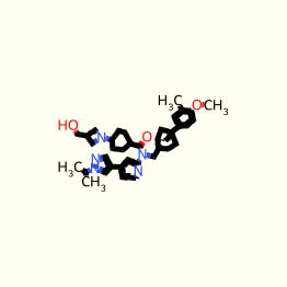 COc1ccc(C23CCC(CN(C(=O)C4CCC(N5CC(CO)C5)CC4)c4cc(-c5cnn(C(C)C)c5)ccn4)(CC2)CC3)cc1C